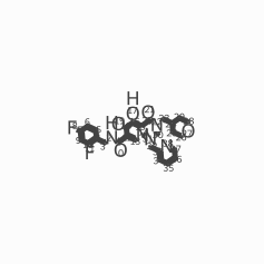 O=C(NCc1ccc(F)cc1F)c1cn2c(c(O)c1=O)C(=O)N(CC1CCOCC1)CN2Cc1ccccn1